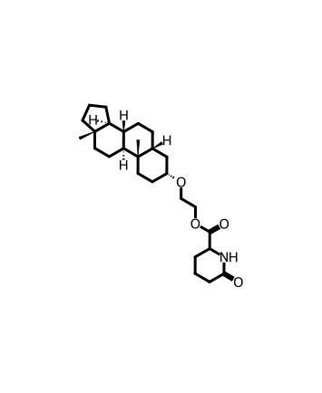 C[C@@]12CCC[C@H]1[C@@H]1CC[C@@H]3C[C@H](OCCOC(=O)C4CCCC(=O)N4)CC[C@]3(C)[C@H]1CC2